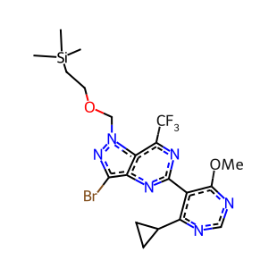 COc1ncnc(C2CC2)c1-c1nc(C(F)(F)F)c2c(n1)c(Br)nn2COCC[Si](C)(C)C